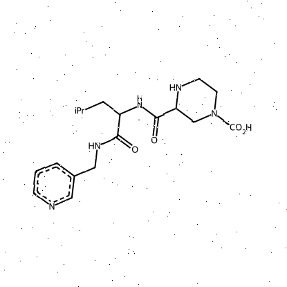 CC(C)CC(NC(=O)C1CN(C(=O)O)CCN1)C(=O)NCc1cccnc1